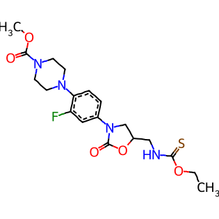 CCOC(=S)NCC1CN(c2ccc(N3CCN(C(=O)OC)CC3)c(F)c2)C(=O)O1